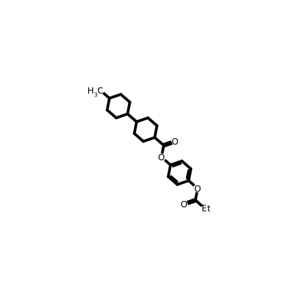 CCC(=O)Oc1ccc(OC(=O)C2CCC(C3CCC(C)CC3)CC2)cc1